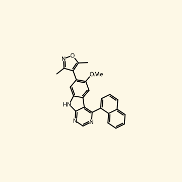 COc1cc2c(cc1-c1c(C)noc1C)[nH]c1ncnc(-c3cccc4ccccc34)c12